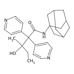 CCC(C)(O)C(C(=O)NC12CC3CC(CC(C3)C1)C2)(c1ccncc1)c1ccncc1